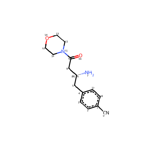 N#Cc1ccc(C[C@@H](N)CC(=O)N2CCOCC2)cc1